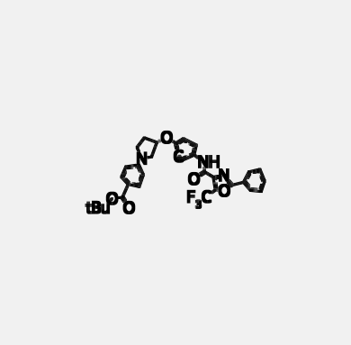 CC(C)(C)OC(=O)c1ccc(N2CC[C@H](Oc3ccc(NC(=O)c4nc(-c5ccccc5)oc4C(F)(F)F)cc3)C2)cc1